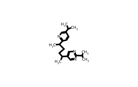 CC(C)c1ccc(C(C)CCC(C)c2cnc(C(C)C)nc2)nc1